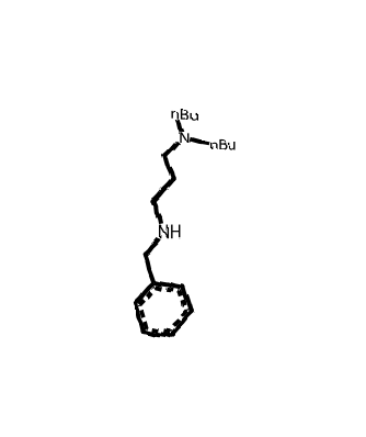 CCCCN(CCCC)CCCNCc1ccccc1